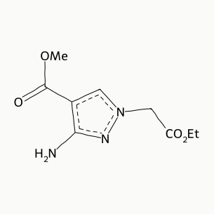 CCOC(=O)Cn1cc(C(=O)OC)c(N)n1